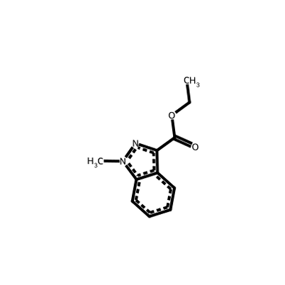 CCOC(=O)c1nn(C)c2ccccc12